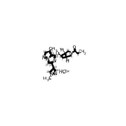 C=CC(=O)N1C[C@H]2C[C@@H](Oc3nc(-c4cnn(C)c4)cn4ncc(C)c34)[C@H]2C1.Cl